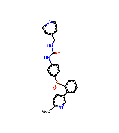 COc1ccc(-c2ccccc2[S+]([O-])c2ccc(NC(=O)NCc3ccncc3)cc2)cn1